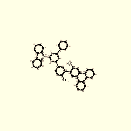 Cc1ccc(-c2nc(-c3ccccc3)nc(-n3c4ccccc4c4ccccc43)n2)cc1-c1cc2c3ccccc3c3ccccc3c2cc1C